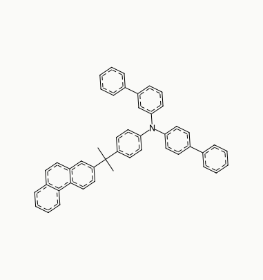 CC(C)(c1ccc(N(c2ccc(-c3ccccc3)cc2)c2cccc(-c3ccccc3)c2)cc1)c1ccc2c(ccc3ccccc32)c1